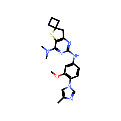 COc1cc(Nc2nc3c(c(N(C)C)n2)SC2(CCC2)C3)ccc1-n1cnc(C)c1